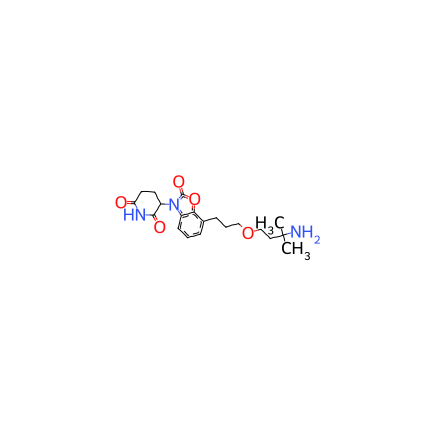 CC(C)(N)CCOCCCc1cccc2c1oc(=O)n2C1CCC(=O)NC1=O